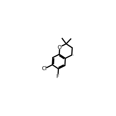 CC1(C)C[CH]c2cc(F)c(Cl)cc2O1